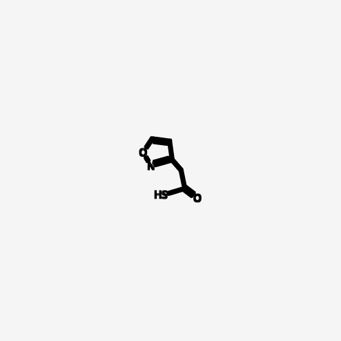 O=C(S)Cc1ccon1